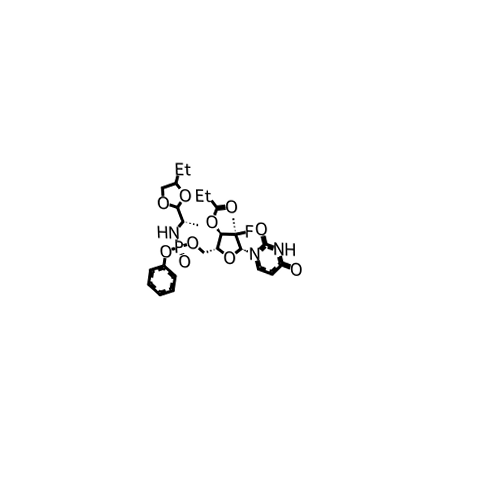 CCC(=O)O[C@@H]1[C@@H](COP(=O)(N[C@@H](C)C2OCC(CC)O2)Oc2ccccc2)O[C@@H](n2ccc(=O)[nH]c2=O)[C@]1(C)F